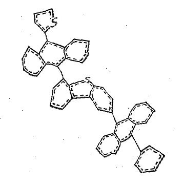 c1ccc(-c2c3ccccc3c(-c3ccc4sc5c(-c6c7ccccc7c(-c7cccs7)c7ccccc67)cccc5c4c3)c3ccccc23)cc1